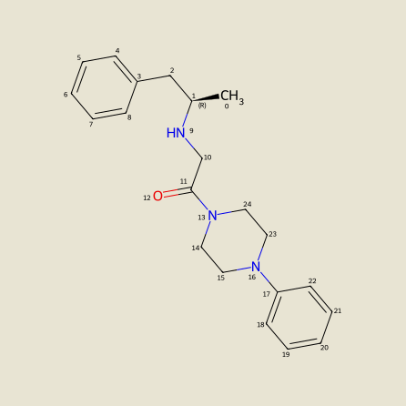 C[C@H](Cc1ccccc1)NCC(=O)N1CCN(c2ccccc2)CC1